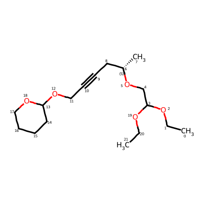 CCOC(CO[C@@H](C)CC#CCOC1CCCCO1)OCC